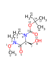 CON(C)C(=O)[C@H](CO)N(C)C(=O)OC(C)(C)C